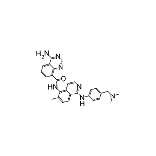 Cc1ccc2c(Nc3ccc(CN(C)C)cc3)nccc2c1NC(=O)c1cccc2c(N)ncnc12